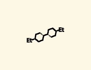 CC[C@H]1CC[C@H]([C@H]2CC[C@H](CC)CC2)CC1